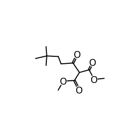 COC(=O)C(C(=O)CCC(C)(C)C)C(=O)OC